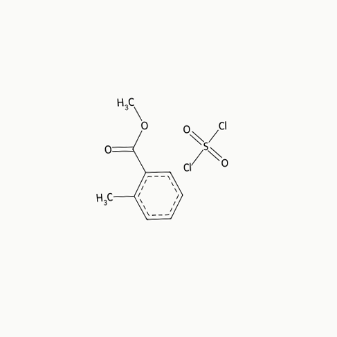 COC(=O)c1ccccc1C.O=S(=O)(Cl)Cl